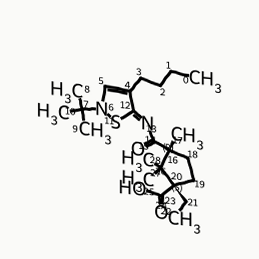 CCCCc1cn(C(C)(C)C)sc1=NC(=O)[C@]1(C)CC[C@](CC)(C(=O)O)C1(C)C